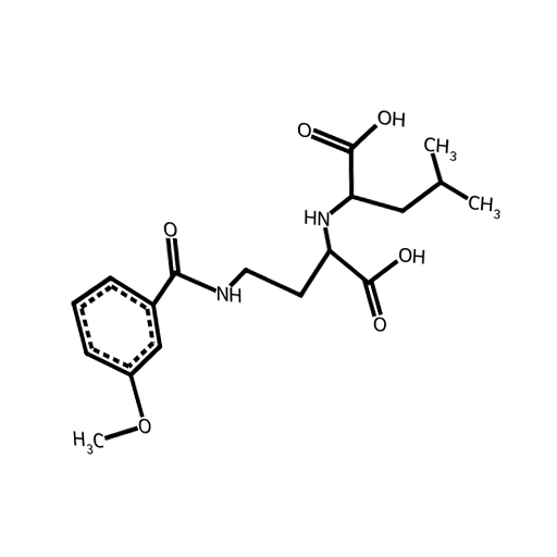 COc1cccc(C(=O)NCCC(NC(CC(C)C)C(=O)O)C(=O)O)c1